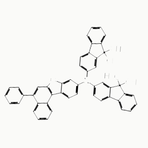 CC1(C)c2ccccc2-c2ccc(N(c3ccc4c(c3)C(C)(C)c3ccccc3-4)c3ccc4c(c3)oc3cc(-c5ccccc5)c5ccccc5c34)cc21